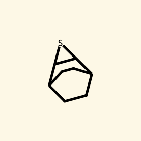 C1CC2CCC1C1SC21